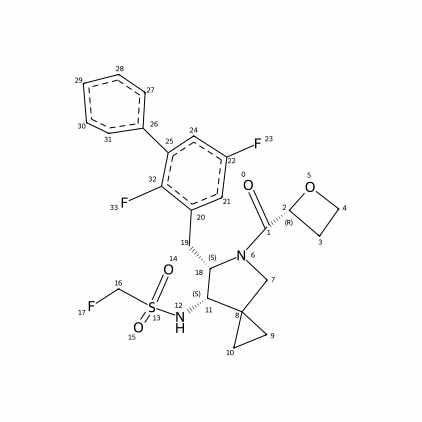 O=C([C@H]1CCO1)N1CC2(CC2)[C@H](NS(=O)(=O)CF)[C@@H]1Cc1cc(F)cc(-c2ccccc2)c1F